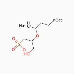 CCCCCCCCCCC(C)OC(CO)CS(=O)(=O)[O-].[Na+]